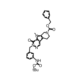 Cn1c2c(c3cnn(Cc4cccc(NC(=O)OC(C)(C)C)c4)c(=O)c31)CCN(C(=O)OCc1ccccc1)C2